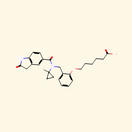 [2H]C1(N(Cc2ccccc2OCCCCCC(=O)O)C(=O)c2ccc3c(c2)CC(=O)N3)CC1